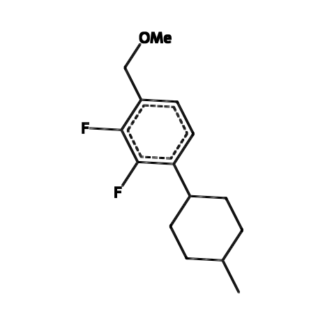 COCc1ccc(C2CCC(C)CC2)c(F)c1F